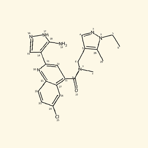 CCn1ncc(CN(C)C(=O)c2cc(-c3cn[nH]c3N)nc3ccc(Cl)cc23)c1C